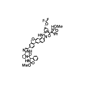 COC(=O)NC(C(=O)N1CCCC1c1ncc(-c2ccc3c(c2)COc2cc4c(ccc5nc([C@@H]6C[C@H](COC(F)F)CN6C(=O)[C@@H](NC(=O)OC)C(C)C)[nH]c54)cc2-3)[nH]1)c1ccccc1